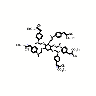 [C-]#[N+]/C(=C/c1ccc(N(C)COC2C(OCN(C)c3ccc(/C=C(/C#N)C(=O)OCC)cc3)C(OCN(C)c3ccc(/C=C(\C#N)C(=O)OCC)cc3)CC(OCN(C)c3ccc(/C=C(\C#N)C(=O)OCC)cc3)C2OCN(C)c2ccc(/C=C(/C#N)C(=O)OCC)cc2)cc1)C(=O)OCC